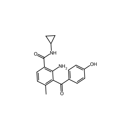 Cc1ccc(C(=O)NC2CC2)c(N)c1C(=O)c1ccc(O)cc1